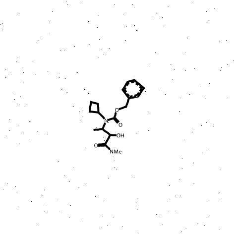 CNC(=O)C(O)C(C)N(C(=O)OCc1ccccc1)C1CCC1